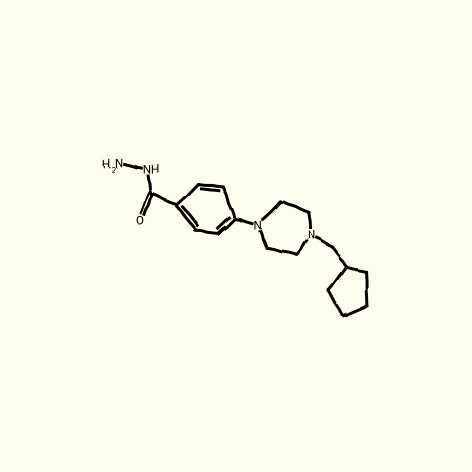 NNC(=O)c1ccc(N2CCN(CC3CCCC3)CC2)cc1